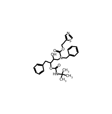 CC(C)(C)NC(=O)OC(Cc1ccccc1)C(O)CN(Cc1ccccc1)C(=O)OCc1cncs1